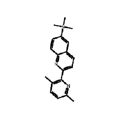 Cc1ccc(C)c(-c2ccc3cc([Si](C)(C)C)ccc3n2)n1